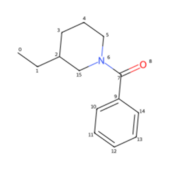 CCC1CCCN(C(=O)c2ccccc2)C1